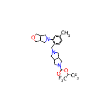 Cc1ccc(CN2CC3CN(C(=O)OC(C(F)(F)F)C(F)(F)F)CC3C2)c(N2CC3COCC3C2)c1